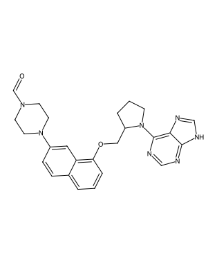 O=CN1CCN(c2ccc3cccc(OCC4CCCN4c4ncnc5[nH]cnc45)c3c2)CC1